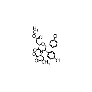 CCC(C(=O)O)N1C(=O)[C@@H](CC(=O)OC)O[C@H](c2cccc(Cl)c2)[C@H]1c1ccc(Cl)cc1